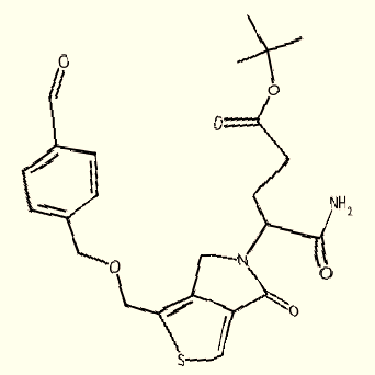 CC(C)(C)OC(=O)CCC(C(N)=O)N1Cc2c(csc2COCc2ccc(C=O)cc2)C1=O